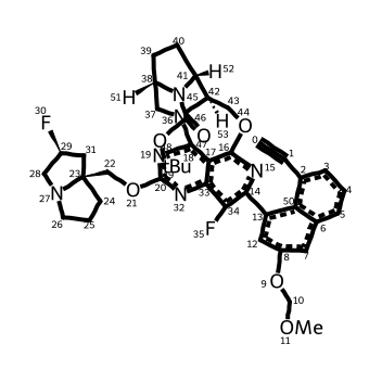 C#Cc1cccc2cc(OCOC)cc(-c3nc4c5c(nc(OC[C@@]67CCCN6C[C@@H](F)C7)nc5c3F)N3C[C@@H]5CC[C@H]([C@H]3CO4)N5C(=O)OC(C)(C)C)c12